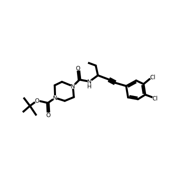 CCC(C#Cc1ccc(Cl)c(Cl)c1)NC(=O)N1CCN(C(=O)OC(C)(C)C)CC1